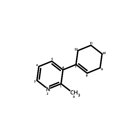 Cc1ncccc1C1=CCCCC1